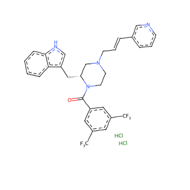 Cl.Cl.O=C(c1cc(C(F)(F)F)cc(C(F)(F)F)c1)N1CCN(C/C=C/c2cccnc2)C[C@H]1Cc1c[nH]c2ccccc12